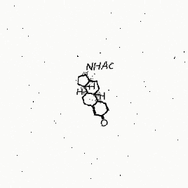 CC(=O)N[C@H]1CC[C@H]2[C@@H]3CCC4=CC(=O)CC[C@]4(C)[C@H]3CC[C@]12C